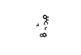 O=C(O)CC(O)(CC(=O)O)C(=O)O.OC(CCOc1cc(F)c(F)c2c1CCC2)N1CCC(O)(c2cncc3ccccc23)CC1